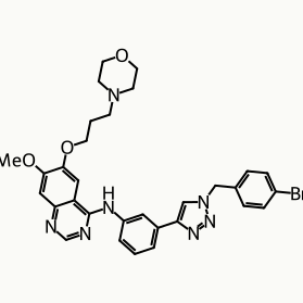 COc1cc2ncnc(Nc3cccc(-c4cn(Cc5ccc(Br)cc5)nn4)c3)c2cc1OCCCN1CCOCC1